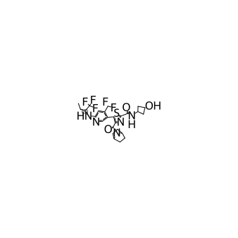 CC[C@H](Nc1cc(C(F)F)c(-c2sc(C(=O)NC3CC(O)C3)nc2C(=O)N2C3CCC2CC3)cn1)C(F)(F)F